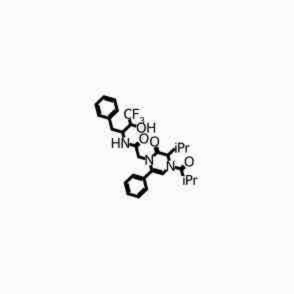 CC(C)C(=O)N1C=C(c2ccccc2)N(CC(=O)NC(Cc2ccccc2)C(O)C(F)(F)F)C(=O)C1C(C)C